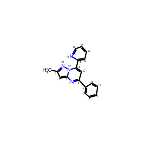 Cc1cc2nc(-c3ccccc3)cc(-c3ccccn3)n2n1